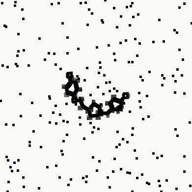 Clc1ccc(CN2CCN(CCOc3ccc(Cl)cc3)CC2)cc1